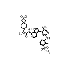 CC[C@H](C(=O)Nc1nccc2c(-c3nc(Nc4cccc(S(C)(=O)=O)c4F)ncc3C)c[nH]c12)N1CCC2(CC1)CS(=O)(=O)C2